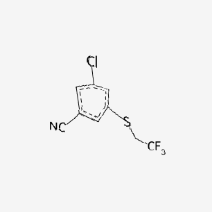 N#Cc1cc(Cl)cc(SCC(F)(F)F)c1